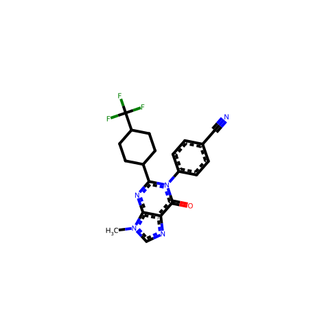 Cn1cnc2c(=O)n(-c3ccc(C#N)cc3)c(C3CCC(C(F)(F)F)CC3)nc21